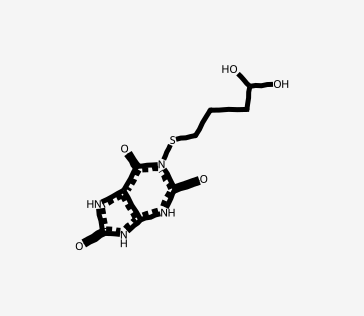 O=c1[nH]c2[nH]c(=O)n(SCCCC(O)O)c(=O)c2[nH]1